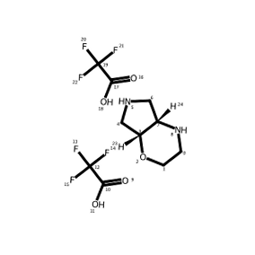 C1CO[C@@H]2CNC[C@@H]2N1.O=C(O)C(F)(F)F.O=C(O)C(F)(F)F